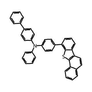 c1ccc(-c2ccc(N(c3ccccc3)c3ccc(-c4cccc5c4sc4c6ccccc6ccc54)cc3)cc2)cc1